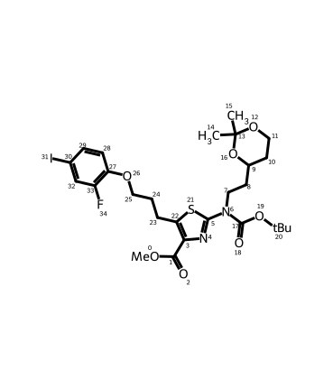 COC(=O)c1nc(N(CCC2CCOC(C)(C)O2)C(=O)OC(C)(C)C)sc1CCCOc1ccc(I)cc1F